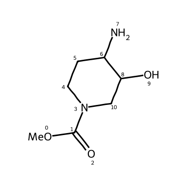 COC(=O)N1CCC(N)C(O)C1